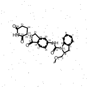 COC[C@@H]1Cc2ccccc2N1C(=O)Nc1ccc2c(c1)CN([C@H]1CCC(=O)NC1=O)C2=O